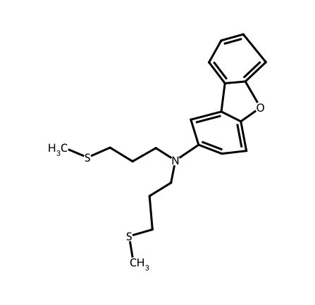 CSCCCN(CCCSC)c1ccc2oc3ccccc3c2c1